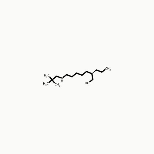 CCC[C@@H](CO)CCCCCNCC(C)(C)C